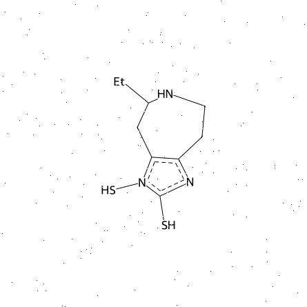 CCC1Cc2c(nc(S)n2S)CCN1